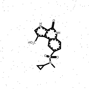 CN(C1CC1)S(=O)(=O)c1ccc2[nH]c(=O)c3[nH]cc(C(=O)O)c3c2c1